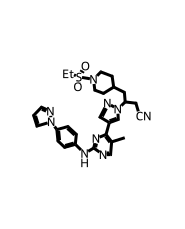 CCS(=O)(=O)N1CCC(CC(CC#N)n2cc(-c3nc(Nc4ccc(-n5cccn5)cc4)ncc3C)cn2)CC1